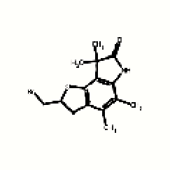 Cc1c(C)c2c(c3c1CC(CBr)O3)C(C)(C)C(=O)N2